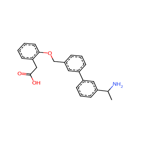 CC(N)c1cccc(-c2cccc(COc3ccccc3CC(=O)O)c2)c1